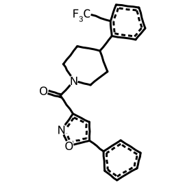 O=C(c1cc(-c2ccccc2)on1)N1CCC(c2ccccc2C(F)(F)F)CC1